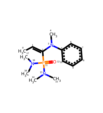 C/C=C(/N(C)c1ccccc1)P(=O)(N(C)C)N(C)C